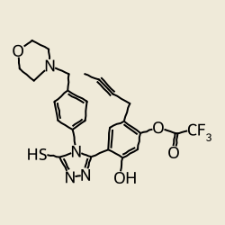 CC#CCc1cc(-c2nnc(S)n2-c2ccc(CN3CCOCC3)cc2)c(O)cc1OC(=O)C(F)(F)F